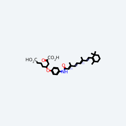 CC1=C(/C=C/C(C)=C/C=C/C(C)=C/C(=O)Nc2ccc(OC(CCCC(=O)O)CC(=O)C(=O)O)cc2)C(C)(C)CCC1